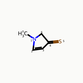 CN1C=CC(=S)C1